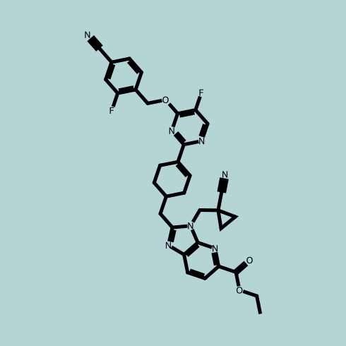 CCOC(=O)c1ccc2nc(CC3CC=C(c4ncc(F)c(OCc5ccc(C#N)cc5F)n4)CC3)n(CC3(C#N)CC3)c2n1